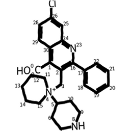 O=C(O)c1c(C[N+]2(C3CCNCC3)CCCCC2)c(-c2ccccc2)nc2cc(Cl)ccc12